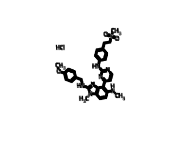 CNc1ccc2c(nc(NCc3ccc(OC)cc3)n2C)c1-c1ccnc(Nc2ccc(CCS(C)(=O)=O)cc2)n1.Cl